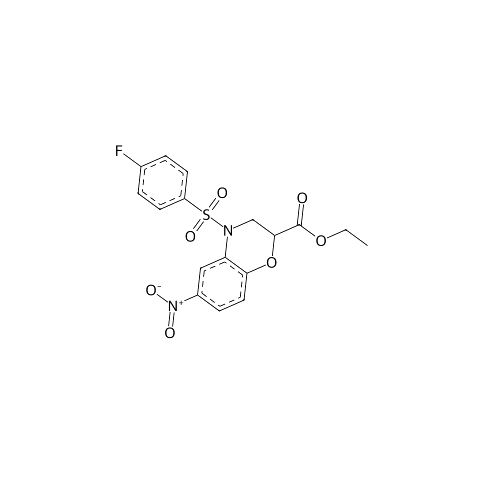 CCOC(=O)C1CN(S(=O)(=O)c2ccc(F)cc2)c2cc([N+](=O)[O-])ccc2O1